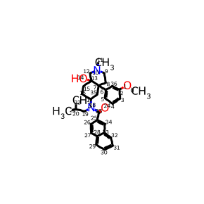 COc1cccc(C23CCN(C)CC2(O)CCC(N(CC(C)C)C(=O)c2ccc4ccccc4c2)C3)c1